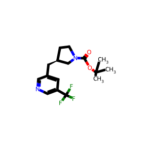 CC(C)(C)OC(=O)N1CC[C@H](Cc2cncc(C(F)(F)F)c2)C1